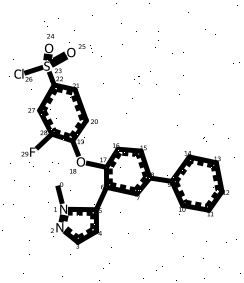 Cn1nccc1-c1cc(-c2ccccc2)ccc1Oc1ccc(S(=O)(=O)Cl)cc1F